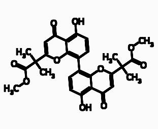 COC(=O)C(C)(C)c1cc(=O)c2c(O)ccc(-c3ccc(O)c4c(=O)cc(C(C)(C)C(=O)OC)oc34)c2o1